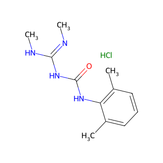 CN=C(NC)NC(=O)Nc1c(C)cccc1C.Cl